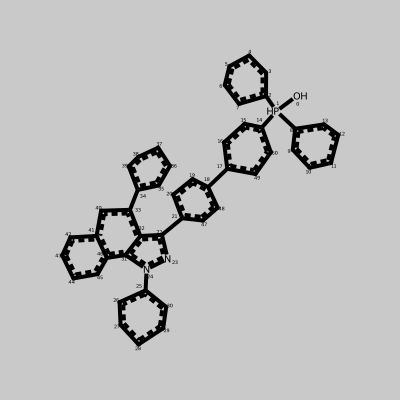 O[PH](c1ccccc1)(c1ccccc1)c1ccc(-c2ccc(-c3nn(-c4ccccc4)c4c3c(-c3ccccc3)cc3ccccc34)cc2)cc1